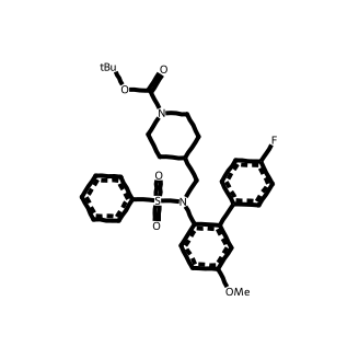 COc1ccc(N(CC2CCN(C(=O)OC(C)(C)C)CC2)S(=O)(=O)c2ccccc2)c(-c2ccc(F)cc2)c1